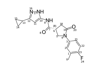 Cc1cc(N2C[C@H](C(=O)Nc3cc(C4CC4)n[nH]3)CC2=O)ccc1F